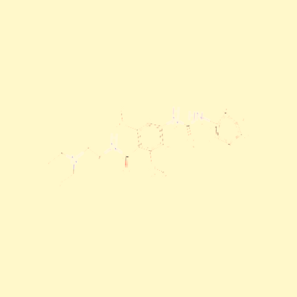 CCN(CC)CCNC(=O)c1c(OC)cc(NC(=O)Nc2ccccc2)cc1OC